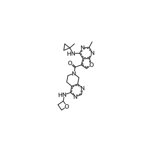 Cc1nc(NC2(C)CC2)c2c(C(=O)N3CCc4c(ncnc4NC4CCO4)C3)coc2n1